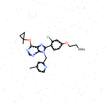 CNCCOc1ccc(-c2nc3c(OC4(C)CC4)ncnc3n2Cc2cc(C)ccn2)c(Cl)c1